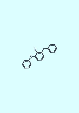 Ic1c(Cc2ccccc2)cccc1Sc1ccccc1